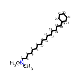 CN(C)CCCCCCCCCCCCCCCCC1CCCCC1